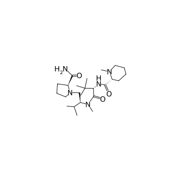 CC(C)[C@@H](CN1CCC[C@H]1C(N)=O)N(C)C(=O)[C@@H](NC(=O)[C@H]1CCCCN1C)C(C)(C)C